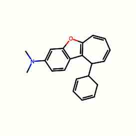 CN(C)c1ccc2c3c(oc2c1)C=CC=CC3C1C=CC=CC1